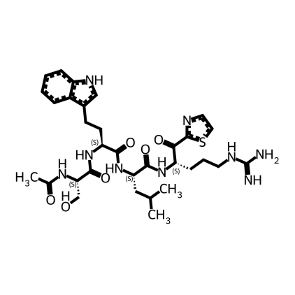 CC(=O)N[C@@H](CO)C(=O)N[C@@H](CCc1c[nH]c2ccccc12)C(=O)N[C@@H](CC(C)C)C(=O)N[C@@H](CCCNC(=N)N)C(=O)c1nccs1